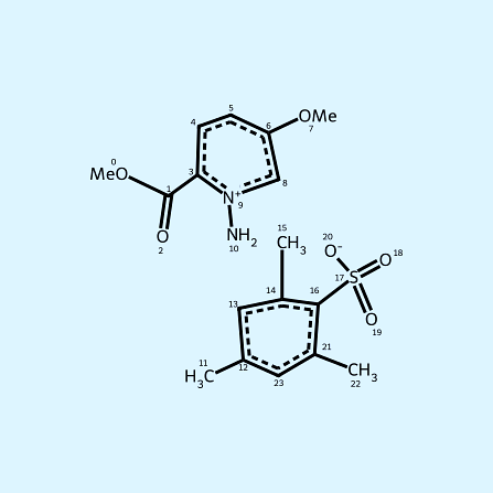 COC(=O)c1ccc(OC)c[n+]1N.Cc1cc(C)c(S(=O)(=O)[O-])c(C)c1